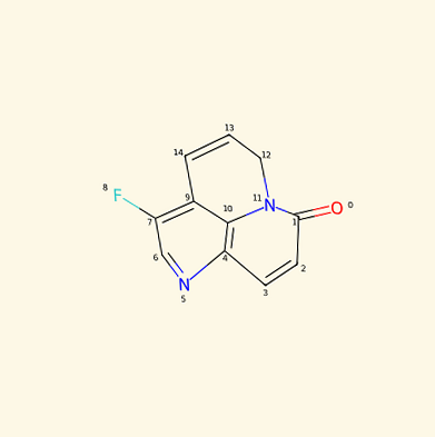 O=c1ccc2ncc(F)c3c2n1CC=C3